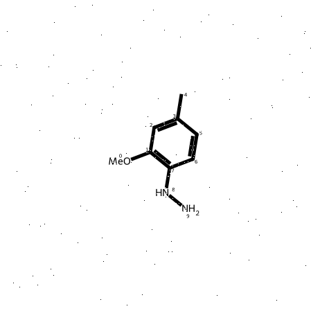 COc1cc(C)ccc1NN